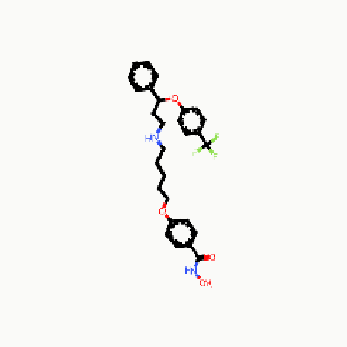 O=C(NO)c1ccc(OCCCCCNCCC(Oc2ccc(C(F)(F)F)cc2)c2ccccc2)cc1